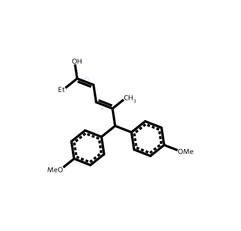 CC/C(O)=C\C=C(/C)C(c1ccc(OC)cc1)c1ccc(OC)cc1